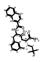 CC(C)(F)CC[C@H](C[C@H](O)C(Cc1cccc(F)c1)NC(=O)c1cnc2ccccc2n1)C(N)=O